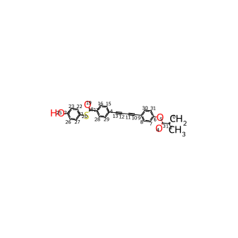 C=C(C)C(=O)Oc1ccc(C#CC#Cc2ccc(C(=O)Sc3ccc(O)cc3)cc2)cc1